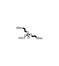 CCCCCCCCCCCCOP(=O)(OCCCCCCCC)OCCCCCCCCCCCC